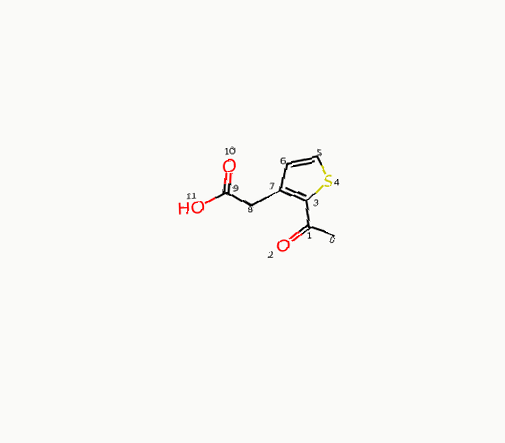 CC(=O)c1sccc1CC(=O)O